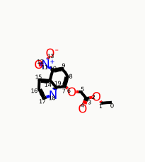 CCOC(=O)COc1ccc([N+](=O)[O-])c2cccnc12